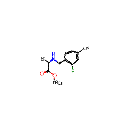 CCC(NCc1ccc(C#N)cc1F)C(=O)OC(C)(C)C